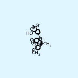 COC1=C2O[C@H]3C(=O)C=C(Sc4ccc([N+](=O)[O-])c(C(=O)O)c4)[C@H]4[C@H]5CC(C=C1)C2[C@@]34CCN5C